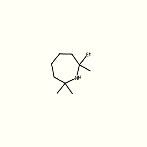 CCC1(C)CCCCC(C)(C)N1